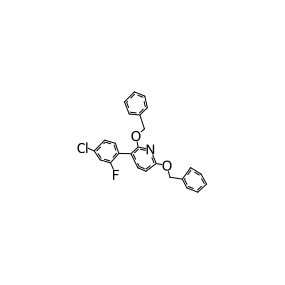 Fc1cc(Cl)ccc1-c1ccc(OCc2ccccc2)nc1OCc1ccccc1